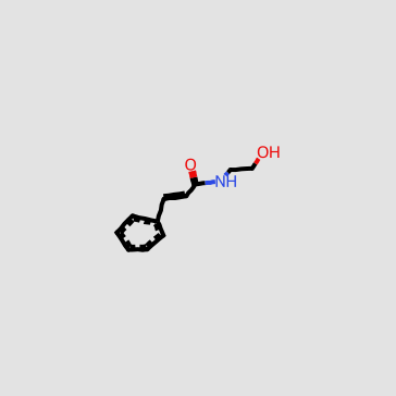 O=C(C=Cc1ccccc1)NCCO